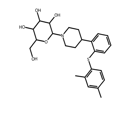 Cc1ccc(Sc2ccccc2C2CCN(C3OC(CO)C(O)C(O)C3O)CC2)c(C)c1